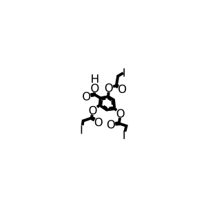 O=C(CI)Oc1cc(OC(=O)CI)c(C(=O)O)c(OC(=O)CI)c1